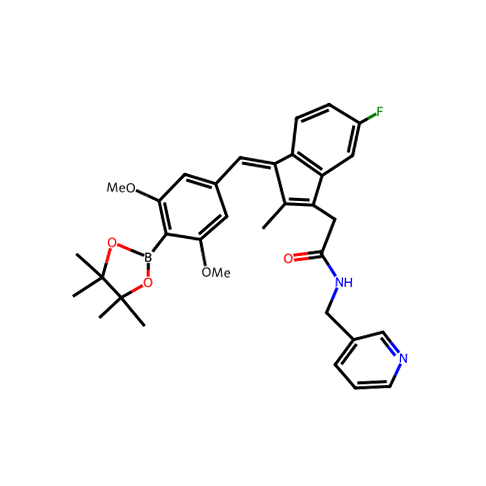 COc1cc(C=C2C(C)=C(CC(=O)NCc3cccnc3)c3cc(F)ccc32)cc(OC)c1B1OC(C)(C)C(C)(C)O1